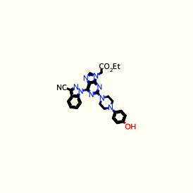 CCOC(=O)Cn1cnc2c(-n3nc(C#N)c4ccccc43)nc(N3CCN(c4ccc(O)cc4)CC3)nc21